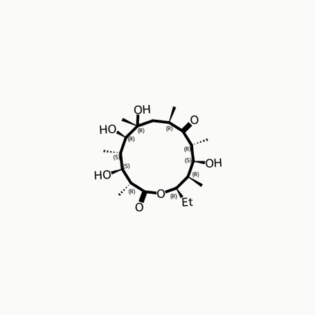 CC[C@H]1OC(=O)[C@H](C)[C@@H](O)[C@H](C)[C@@H](O)[C@](C)(O)C[C@@H](C)C(=O)[C@H](C)[C@@H](O)[C@H]1C